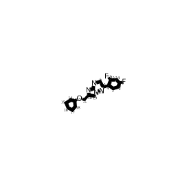 Fc1ccc(-c2cnc3nc(COc4ccccc4)cn3n2)c(F)c1